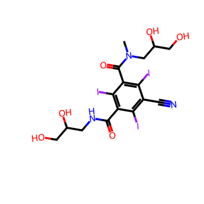 CN(CC(O)CO)C(=O)c1c(I)c(C#N)c(I)c(C(=O)NCC(O)CO)c1I